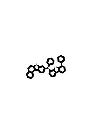 c1ccc(-c2cccc3c2oc2c(N(c4ccccc4)c4ccc5c(c4)sc4ccc6ccccc6c45)cccc23)cc1